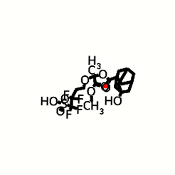 CCOC(=O)C(C)(OCCC(F)(F)C(F)(F)S(=O)(=O)O)OC(=O)C12CC3CC(CC(O)(C3)C1)C2